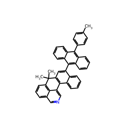 Cc1ccc(-c2c3ccccc3c(-c3cc4c(c5ccccc35)-c3cncc5cccc(c35)C4(C)C)c3ccccc23)cc1